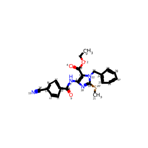 CCOC(=O)c1c(NC(=O)c2ccc(C#N)cc2)nc(SC)n1Cc1ccccc1